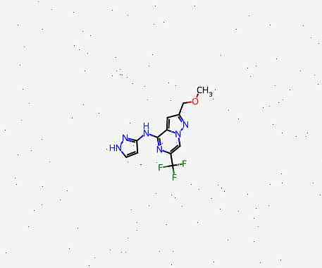 COCc1cc2c(Nc3cc[nH]n3)nc(C(F)(F)F)cn2n1